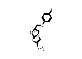 C[C@]1(COc2ccc(I)cc2)Cn2cc([N+](=O)[O-])nc2O1